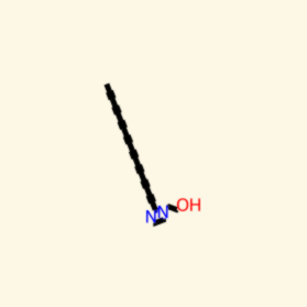 CC#CC#CC#CC#CC#CC#CC#CC#CC1=NCCN1CCO